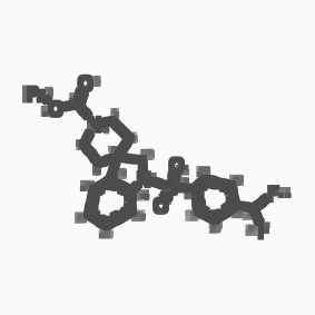 CC(C)OC(=O)N1CCC2(CC1)CN(S(=O)(=O)c1ccc(C(F)F)cc1)c1ccccc12